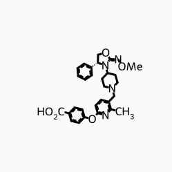 CO/N=C1/OC[C@@H](c2ccccc2)N1C1CCN(Cc2ccc(Oc3ccc(C(=O)O)cc3)nc2C)CC1